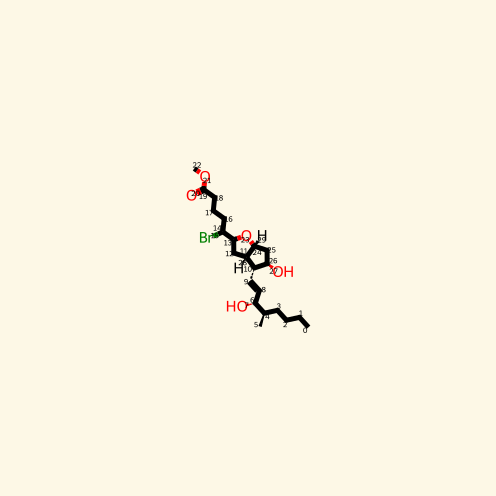 CCCC[C@@H](C)[C@H](O)/C=C/[C@@H]1[C@H]2CC(C(Br)CCCC(=O)OC)O[C@@H]2C[C@H]1O